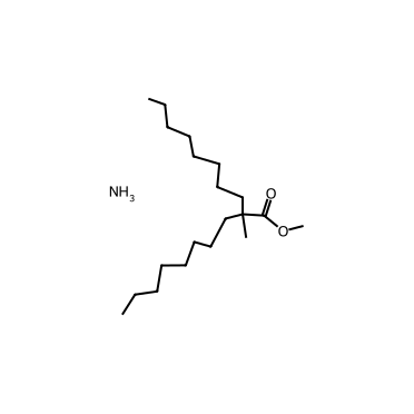 CCCCCCCCC(C)(CCCCCCCC)C(=O)OC.N